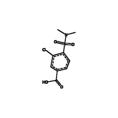 CN(C)S(=O)(=O)c1ccc(C(=O)O)cc1Cl